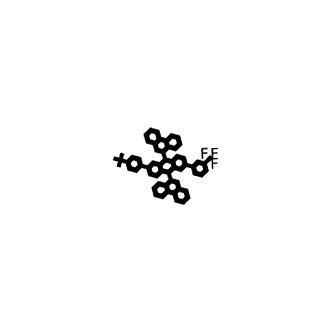 CC(C)(C)c1ccc(-c2ccc3c(-c4cc5ccccc5c5ccccc45)c4cc(-c5cccc(C(F)(F)F)c5)ccc4c(-c4cc5ccccc5c5ccccc45)c3c2)cc1